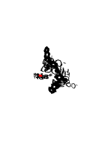 O=C(Nc1ccc(C(=O)N=C2Cc3ccccc3C=C2C(=O)[O-])c(S(=O)(=O)[O-])c1)Nc1ccc(C(=O)N=C2Cc3ccccc3C=C2C(=O)[O-])c(S(=O)(=O)[O-])c1.[Na+].[Na+].[Na+].[Na+]